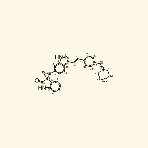 O=C1Nc2ccccc2[C@]12C[C@H]2c1ccc2c(C=Cc3ccc(CN4CCOCC4)cc3)n[nH]c2c1